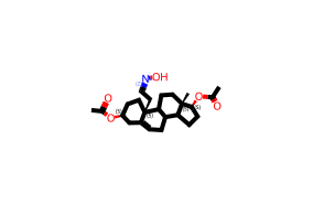 CC(=O)O[C@H]1CC[C@@]2(C/C=N\O)C(=CCC3C2CC[C@@]2(C)C3CC[C@@H]2OC(C)=O)C1